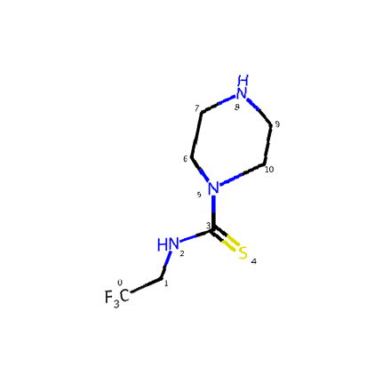 FC(F)(F)CNC(=S)N1CCNCC1